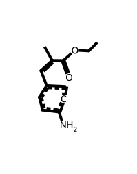 CCOC(=O)C(C)=Cc1ccc(N)cc1